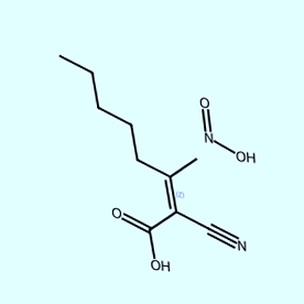 CCCCC/C(C)=C(/C#N)C(=O)O.O=NO